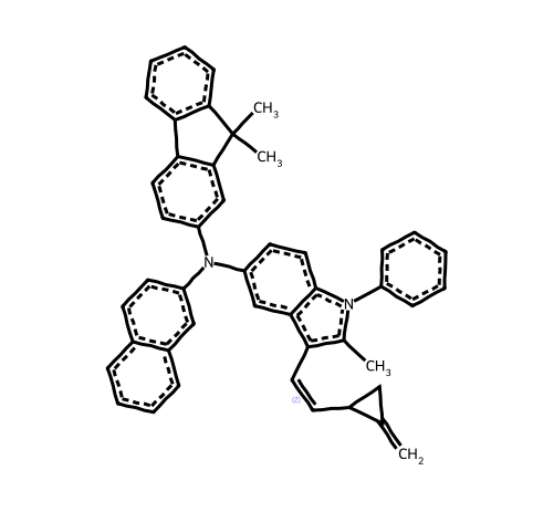 C=C1CC1/C=C\c1c(C)n(-c2ccccc2)c2ccc(N(c3ccc4c(c3)C(C)(C)c3ccccc3-4)c3ccc4ccccc4c3)cc12